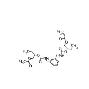 C=CC(=O)OCC(CC)OC(=O)NCc1cccc(CNC(=O)OC(CC)COC(C)=O)c1